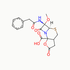 CO[C@@]1(NC(=O)Cc2ccccc2)C(=O)N2[C@@H]1SCC1CC(=O)OC12C(=O)O